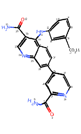 NC(=O)c1cc(-c2ccc3c(Nc4cccc(C(=O)O)c4)c(C(N)=O)cnc3c2)ccn1